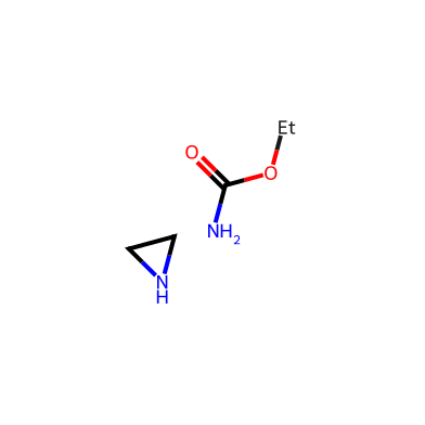 C1CN1.CCOC(N)=O